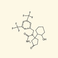 NC(=O)N(Cc1cc(C(F)(F)F)cc(C(F)(F)F)c1)C1(C2CCCCC2O)CCC(=O)C1